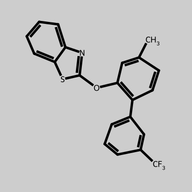 Cc1ccc(-c2cccc(C(F)(F)F)c2)c(Oc2nc3ccccc3s2)c1